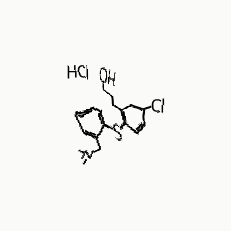 CN(C)Cc1ccccc1Sc1ccc(Cl)cc1CCCO.Cl